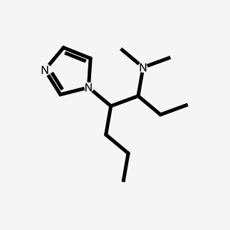 CCCC(C(CC)N(C)C)n1ccnc1